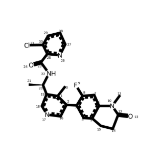 Cc1c(-c2cc3c(cc2F)N(C)C(=O)CC3)cncc1[C@@H](C)NC(=O)c1ncccc1Cl